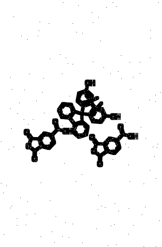 CC(C)(C)c1cc(O)ccc1C1(c2ccc(O)cc2C(C)(C)C)c2ccccc2-c2ccccc21.O=C(O)c1ccc2c(c1)C(=O)OC2=O.O=C(O)c1ccc2c(c1)C(=O)OC2=O